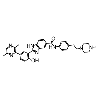 Cc1cnc(C)c(-c2ccc(O)c(-c3nc4cc(C(=O)Nc5ccc(CCN6CCN(C)CC6)cc5)ccc4[nH]3)c2)n1